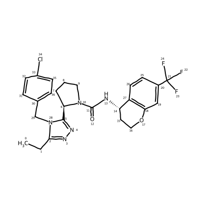 CCc1nnc([C@H]2CCCN2C(=O)N[C@H]2CCOc3cc(C(F)(F)F)ccc32)n1Cc1ccc(Cl)cc1